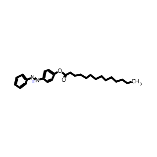 CCCCCCCCCCCCCC(=O)Oc1ccc(/N=N/c2ccccc2)cc1